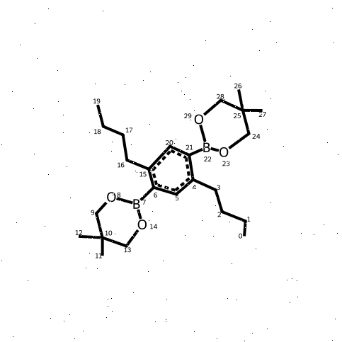 CCCCc1cc(B2OCC(C)(C)CO2)c(CCCC)cc1B1OCC(C)(C)CO1